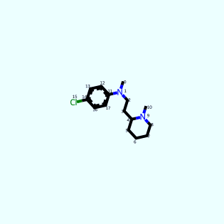 CN(CCC1CCCCN1C)c1ccc(Cl)cc1